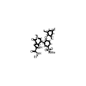 CCNC(=O)c1cc2c(=O)n(C)cc(-c3cc(S(=O)(=O)NC)ccc3Oc3c(C)cc(F)cc3C)c2[nH]1